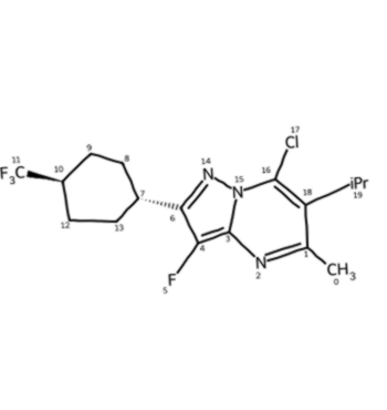 Cc1nc2c(F)c([C@H]3CC[C@H](C(F)(F)F)CC3)nn2c(Cl)c1C(C)C